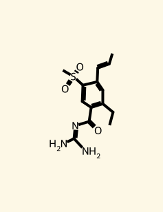 CC=Cc1cc(CC)c(C(=O)N=C(N)N)cc1S(C)(=O)=O